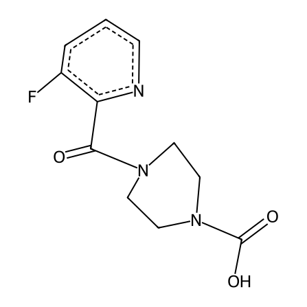 O=C(O)N1CCN(C(=O)c2ncccc2F)CC1